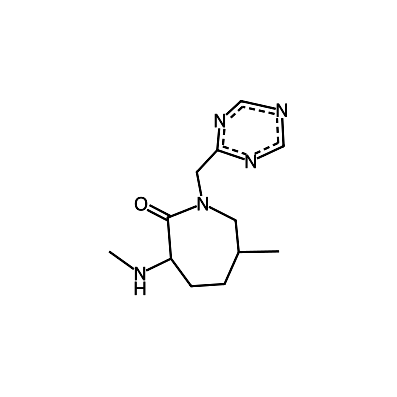 CNC1CCC(C)CN(Cc2ncncn2)C1=O